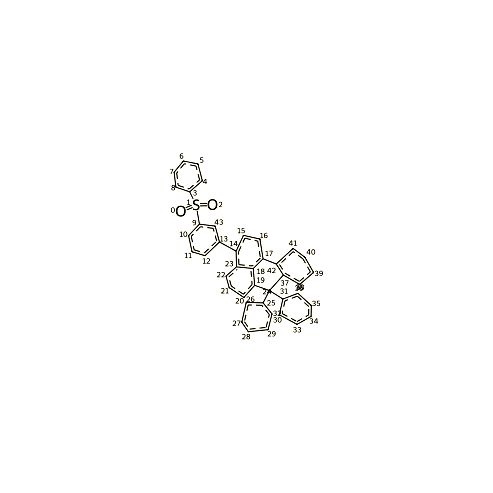 O=S(=O)(c1ccccc1)c1cccc(-c2ccc3c4c(cccc24)C(c2ccccc2)(c2ccccc2)c2ccccc2-3)c1